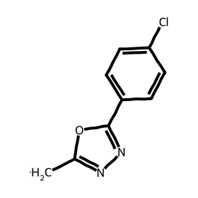 [CH2]c1nnc(-c2ccc(Cl)cc2)o1